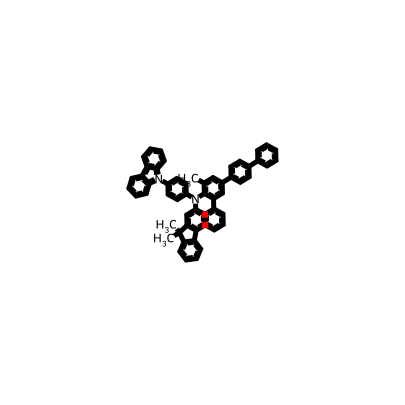 Cc1cc(-c2ccc(-c3ccccc3)cc2)cc(-c2ccccc2)c1N(c1ccc(-n2c3ccccc3c3ccccc32)cc1)c1ccc2c(c1)C(C)(C)c1ccccc1-2